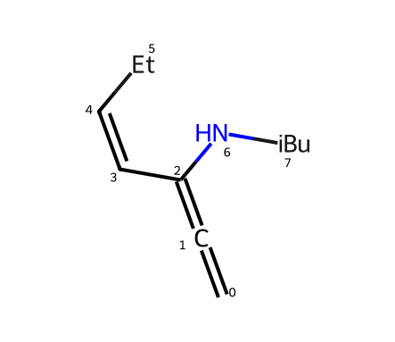 C=C=C(/C=C\CC)NC(C)CC